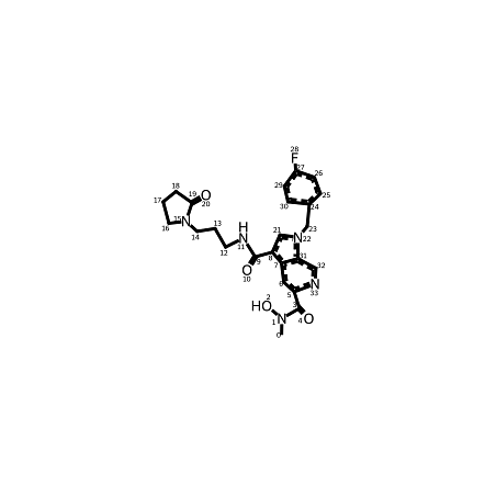 CN(O)C(=O)c1cc2c(C(=O)NCCCN3CCCC3=O)cn(Cc3ccc(F)cc3)c2cn1